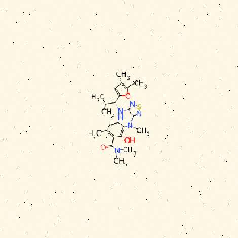 Cc1cc([C@H](Nc2nsnc2N(C)c2ccc(C)c(C(=O)N(C)C)c2O)C(C)C)oc1C